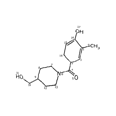 CC1=CC(C(=O)N2CCC(CO)CC2)CC=C1O